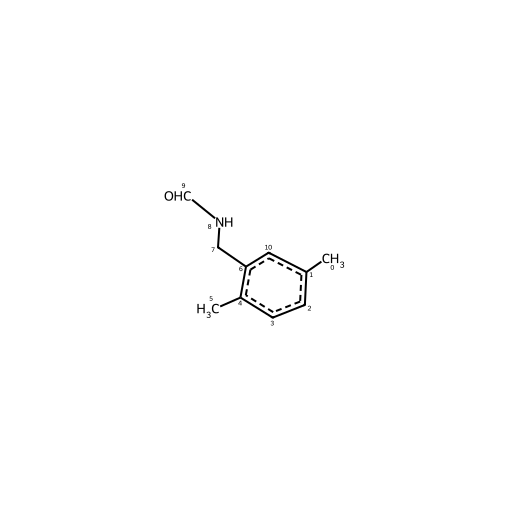 Cc1ccc(C)c(CNC=O)c1